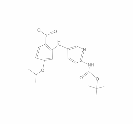 CC(C)Oc1ccc([N+](=O)[O-])c(Nc2ccc(NC(=O)OC(C)(C)C)nc2)c1